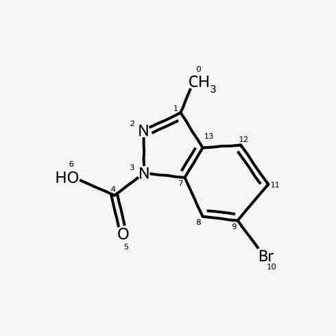 Cc1nn(C(=O)O)c2cc(Br)ccc12